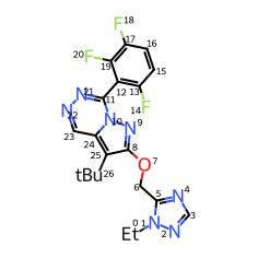 CCn1ncnc1COc1nn2c(-c3c(F)ccc(F)c3F)nncc2c1C(C)(C)C